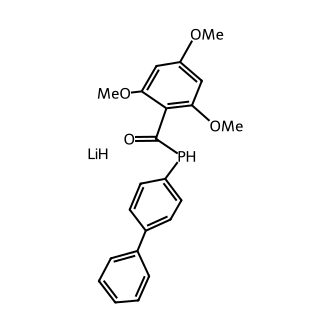 COc1cc(OC)c(C(=O)Pc2ccc(-c3ccccc3)cc2)c(OC)c1.[LiH]